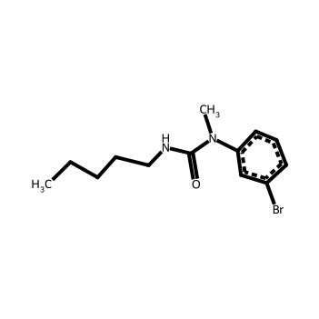 CCCCCNC(=O)N(C)c1cccc(Br)c1